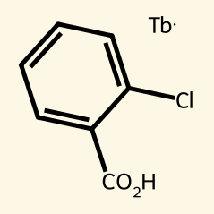 O=C(O)c1ccccc1Cl.[Tb]